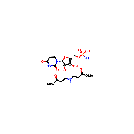 COC(=O)CCNCCC(=O)OC.NP(=O)(O)OC[C@H]1O[C@@H](n2ccc(=O)[nH]c2=O)[C@H](O)[C@@H]1O